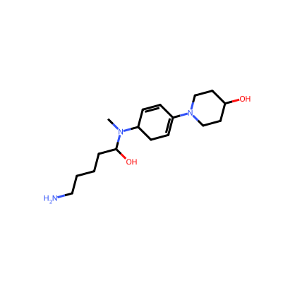 CN(C(O)CCCCN)C1C=CC(N2CCC(O)CC2)=CC1